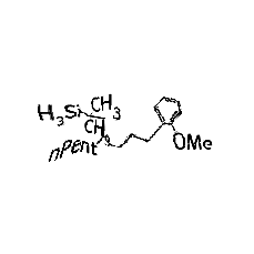 CCCCCC(CCCc1ccccc1OC)CC(C)(C)[SiH3]